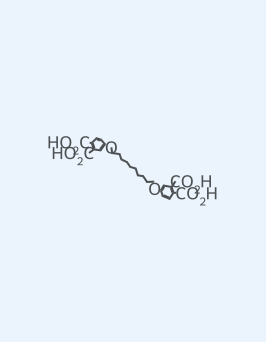 O=C(O)c1ccc(OCCCCCCCCCCOc2ccc(C(=O)O)c(C(=O)O)c2)cc1C(=O)O